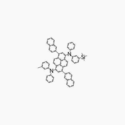 Cc1cccc(N(c2ccccc2)c2cc(-c3ccc4ccccc4c3)c3ccc4c(N(c5ccccc5)c5cccc([Si](C)(C)C)c5)cc(-c5ccc6ccccc6c5)c5ccc2c3c54)c1